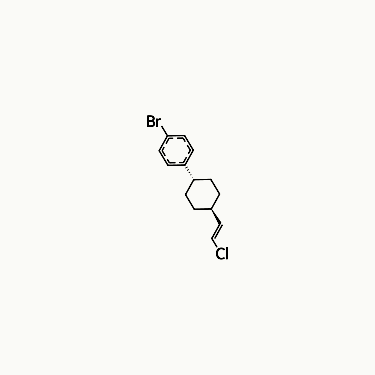 Cl/C=C/[C@H]1CC[C@H](c2ccc(Br)cc2)CC1